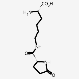 N[C@@H](CCCCNC(=O)[C@H]1CCC(=O)N1)C(=O)O